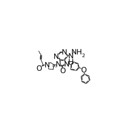 CC#CC(=O)N1CC[C@@H](n2c(=O)n(-c3ccc(Oc4ccccc4)cc3)c3c(NN)ncnc32)C1